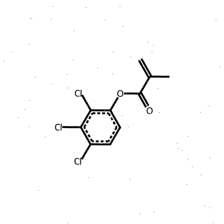 C=C(C)C(=O)Oc1ccc(Cl)c(Cl)c1Cl